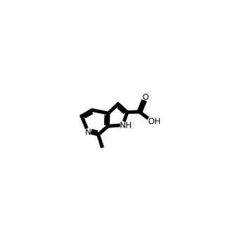 Cc1nccc2cc(C(=O)O)[nH]c12